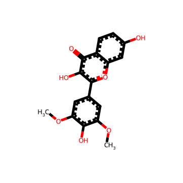 COc1cc(-c2oc3cc(O)ccc3c(=O)c2O)cc(OC)c1O